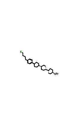 CCC[C@H]1CC[C@H]([C@H]2CC[C@H](C3CCC(c4ccc(CCCCF)cc4)CC3)CC2)CC1